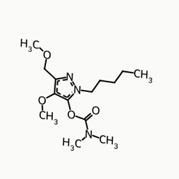 CCCCCn1nc(COC)c(OC)c1OC(=O)N(C)C